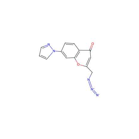 [N-]=[N+]=NCc1cc(=O)c2ccc(-n3cccn3)cc2o1